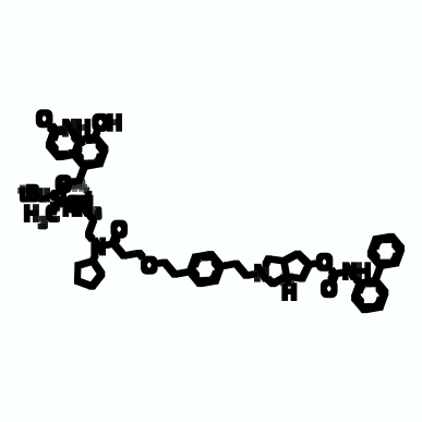 CC(C)(C)[Si](C)(C)O[C@@H](CNCCN(C(=O)CCOCCc1ccc(CCN2CC3CC(OC(=O)Nc4ccccc4-c4ccccc4)C[C@@H]3C2)cc1)C1CCCC1)c1ccc(O)c2[nH]c(=O)ccc12